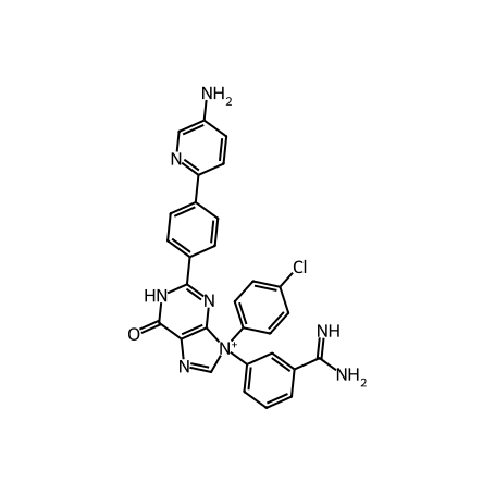 N=C(N)c1cccc([N+]2(c3ccc(Cl)cc3)C=Nc3c2nc(-c2ccc(-c4ccc(N)cn4)cc2)[nH]c3=O)c1